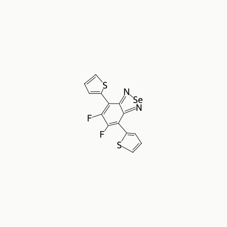 Fc1c(F)c(-c2cccs2)c2n[se]nc2c1-c1cccs1